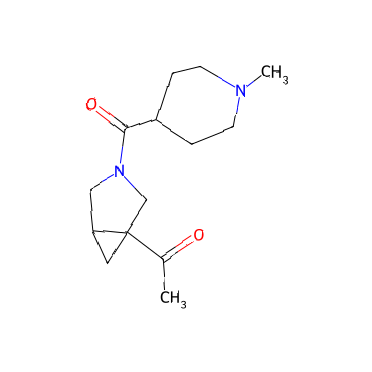 CC(=O)C12CC1CN(C(=O)C1CCN(C)CC1)C2